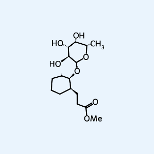 COC(=O)CC[C@H]1CCC[CH][C@H]1O[C@@H]1O[C@@H](C)[C@@H](O)[C@@H](O)[C@@H]1O